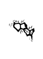 C[C@]12CC[C@H]3[C@@H](CC[C@@H]4C[C@@](O)(C(F)(F)F)CC[C@@H]43)[C@@H]1C=CC2=O